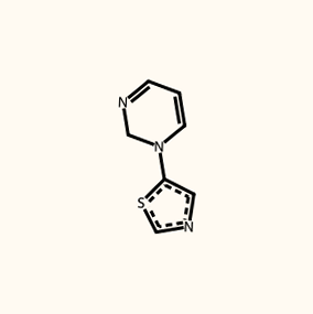 C1=CN(c2cncs2)CN=C1